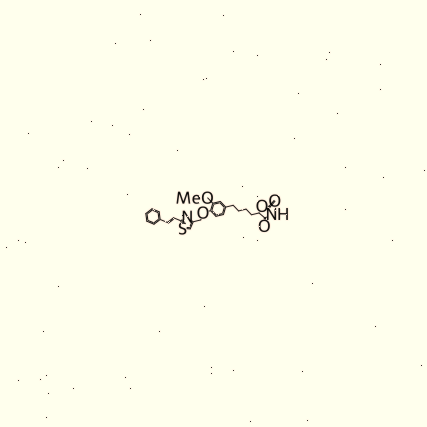 COc1cc(CCCCC2OC(=O)NC2=O)ccc1OCc1csc(/C=C/c2ccccc2)n1